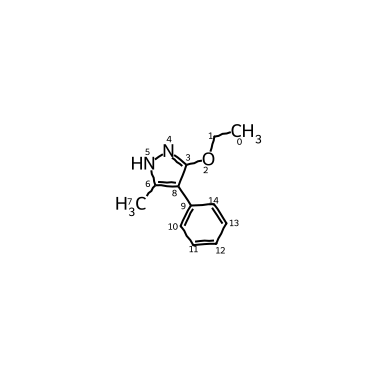 CCOc1n[nH]c(C)c1-c1ccccc1